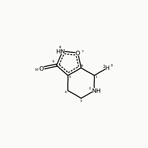 [2H]C1NCCc2c1o[nH]c2=O